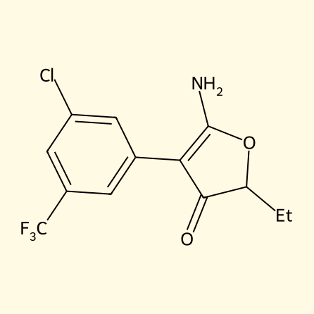 CCC1OC(N)=C(c2cc(Cl)cc(C(F)(F)F)c2)C1=O